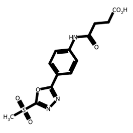 CS(=O)(=O)c1nnc(-c2ccc(NC(=O)CCC(=O)O)cc2)o1